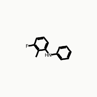 Cc1c(F)cccc1Nc1ccccc1